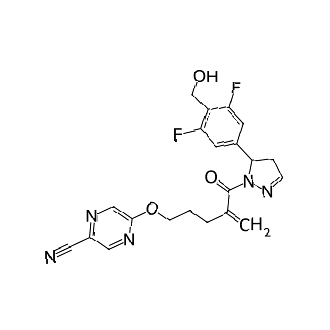 C=C(CCCOc1cnc(C#N)cn1)C(=O)N1N=CCC1c1cc(F)c(CO)c(F)c1